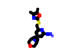 Cc1nc(SCc2cc(N3C4CCC3COC4)cc(N)n2)oc1C